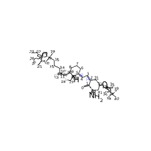 C=C1/C(=C\C=C2/CCC[C@]3(C)[C@@H]([C@H](C)CCCC(C)(C)O[Si](CC)(CC)CC)CC[C@@H]23)CC(O[Si](C)(C)C(C)(C)C)C[C@@H]1N